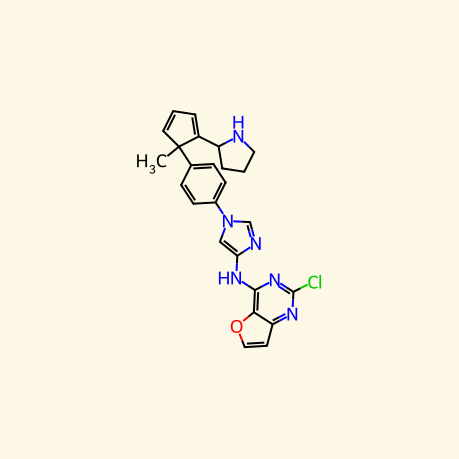 CC1(c2ccc(-n3cnc(Nc4nc(Cl)nc5ccoc45)c3)cc2)C=CC=C1C1CCCN1